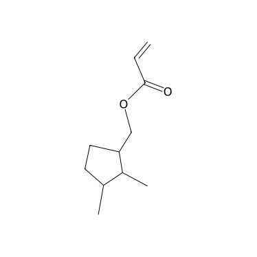 C=CC(=O)OCC1CCC(C)C1C